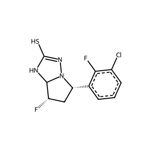 Fc1c(Cl)cccc1[C@@H]1C[C@H](F)C2NC(S)=NN21